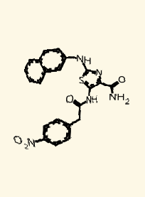 NC(=O)c1nc(Nc2ccc3ccccc3c2)sc1NC(=O)Cc1ccc([N+](=O)[O-])cc1